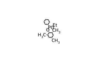 CCOP(Oc1c(C)cc(C)cc1C)c1ccccc1